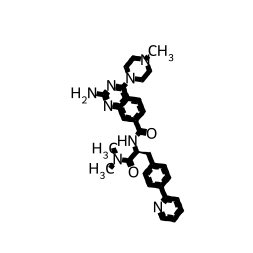 CN1CCN(c2nc(N)nc3cc(C(=O)N[C@@H](Cc4ccc(-c5ccccn5)cc4)C(=O)N(C)C)ccc23)CC1